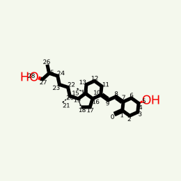 C=C1CC[C@H](O)C/C1=C/C=C1CCC[C@@]2(C)C1CC[C@@H]2[C@H](C)CCCC(C)CO